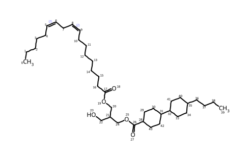 CCCCC/C=C\C/C=C\CCCCCCCC(=O)OCC(CO)COC(=O)C1CCC(C2CCC(CCCC)CC2)CC1